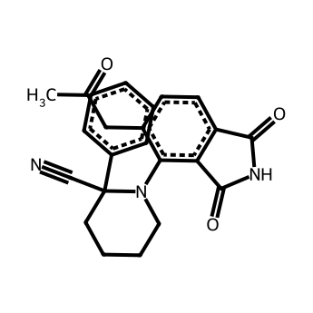 CC(=O)Cc1ccc2c(c1N1CCCCC1(C#N)c1ccccc1)C(=O)NC2=O